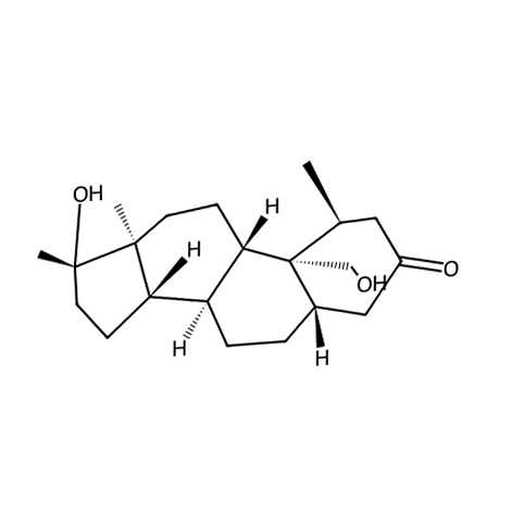 C[C@H]1CC(=O)C[C@@H]2CC[C@@H]3[C@H](CC[C@@]4(C)[C@H]3CC[C@]4(C)O)[C@]21CO